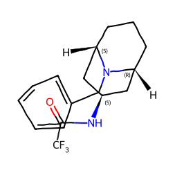 O=C(N[C@@H]1C[C@H]2CCC[C@@H](C1)N2Cc1ccccc1)C(F)(F)F